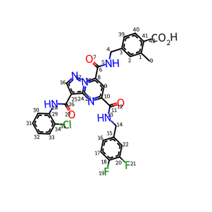 Cc1cc(CNC(=O)c2cc(C(=O)NCc3ccc(F)c(F)c3)nc3c(C(=O)Nc4ccccc4Cl)cnn23)ccc1C(=O)O